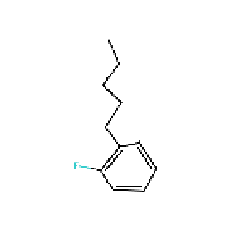 CCCCCc1[c]cccc1F